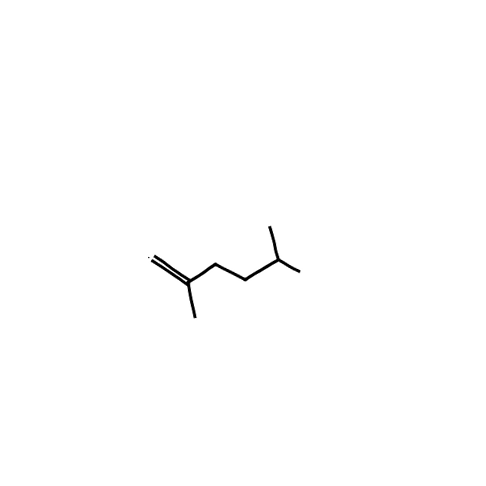 [CH]=C(C)CCC(C)C